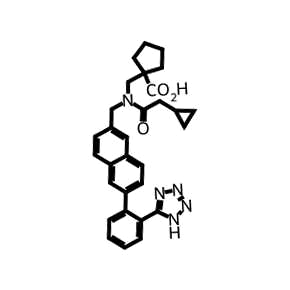 O=C(CC1CC1)N(Cc1ccc2cc(-c3ccccc3-c3nnn[nH]3)ccc2c1)CC1(C(=O)O)CCCC1